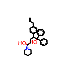 C=CCc1ccc(C(CCC(O)N2CCCCC2)C(O)(c2ccccc2)c2ccccc2)cc1